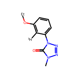 [3H]c1c(OCC)cccc1-n1nnn(C)c1=O